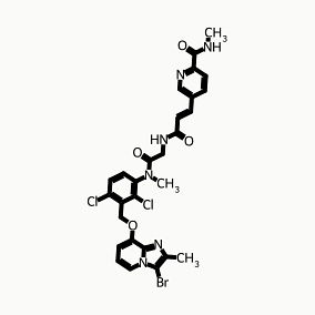 CNC(=O)c1ccc(C=CC(=O)NCC(=O)N(C)c2ccc(Cl)c(COc3cccn4c(Br)c(C)nc34)c2Cl)cn1